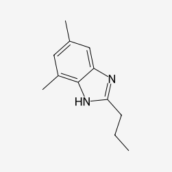 CCCc1nc2cc(C)cc(C)c2[nH]1